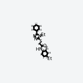 CCc1ccc(NC(=O)CSc2nnc(-c3ccccc3)n2CC)c(F)c1